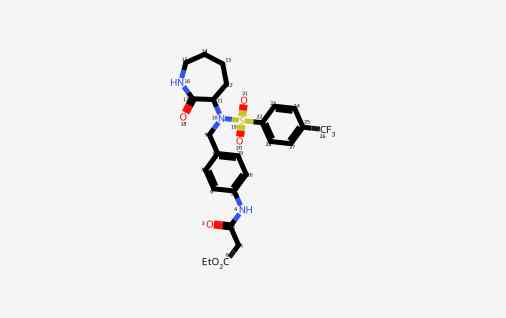 CCOC(=O)CC(=O)Nc1ccc(CN(C2CCCCNC2=O)S(=O)(=O)c2ccc(C(F)(F)F)cc2)cc1